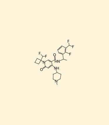 CC(NC(=O)c1cn(C2(C(F)F)CCC2)c(=O)cc1NC1CCN(C)CC1)c1cccc(C(F)F)c1F